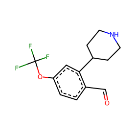 O=Cc1ccc(OC(F)(F)F)cc1C1CCNCC1